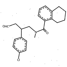 CN(CC(CC=O)c1ccc(Cl)cc1)C(=O)c1cccc2c1CCCC2